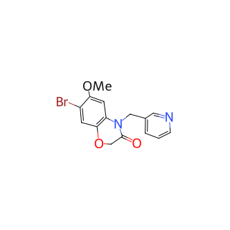 COc1cc2c(cc1Br)OCC(=O)N2Cc1cccnc1